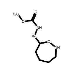 CC(C)(C)OC(=O)NNC1CCCCNO1